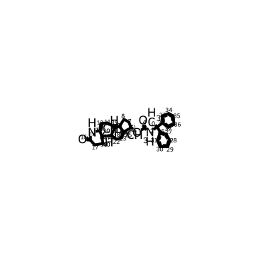 CC(NC(=O)O[C@H]1CC[C@H]2[C@@H]3CC=C4NC(=O)CC[C@]4(C)[C@H]3CC[C@]12C)(c1ccccc1)c1ccccc1